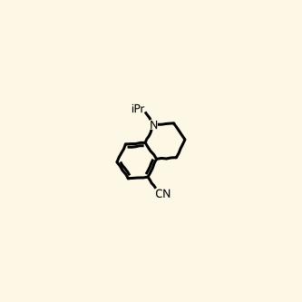 CC(C)N1CCCc2c(C#N)cccc21